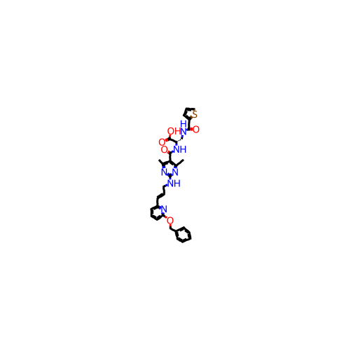 Cc1nc(NC/C=C/c2cccc(OCc3ccccc3)n2)nc(C)c1C(=O)N[C@@H](CNC(=O)c1cccs1)C(=O)O